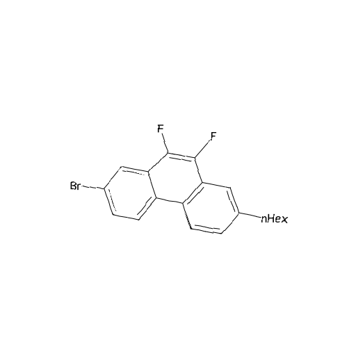 CCCCCCc1ccc2c(c1)c(F)c(F)c1cc(Br)ccc12